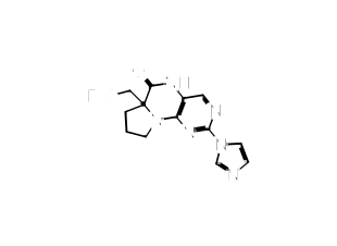 O=C1Nc2cnc(-n3ccnc3)nc2N2CCCC12CC(F)(F)F